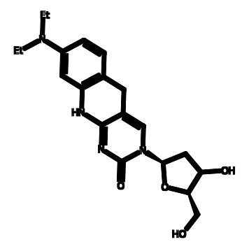 CCN(CC)c1ccc2c(c1)Nc1nc(=O)n([C@H]3CC(O)[C@@H](CO)O3)cc1C2